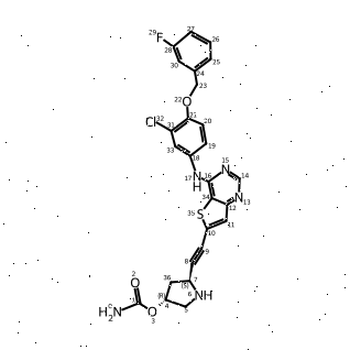 NC(=O)O[C@H]1CN[C@H](C#Cc2cc3ncnc(Nc4ccc(OCc5cccc(F)c5)c(Cl)c4)c3s2)C1